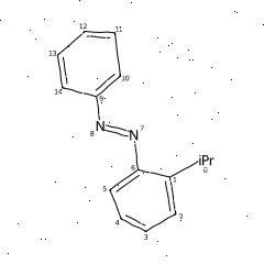 CC(C)c1ccccc1N=Nc1ccccc1